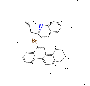 Brc1cc2c3c(ccc2c2ccccc12)CCCC3.C#CCc1ccc2ccccc2n1